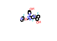 CCC1=C(F)C=CC2C=C(O)C=C(C3N=Cc4c(nc(COC[C@@]56CCCN5C[C@H](F)C6)nc4N4CC5CC(O)C(C5)C4)C3F)C12C